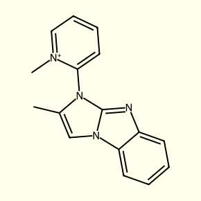 Cc1cn2c3ccccc3nc2n1-c1cccc[n+]1C